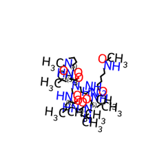 CC(=O)NCCCCCC(=O)NNC(=O)[C@H](CC(C)C)NC(=O)[C@H](CC(C)C)NC(=O)[C@@H](CC(C)C)NC(=O)CN(CCCCN)C(=O)[C@H](CC(C)C)NC(=O)[C@@H]1CCCN1C(C)=O